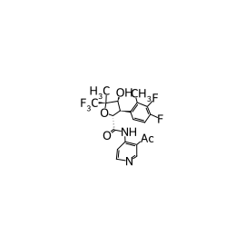 CC(=O)c1cnccc1NC(=O)[C@@H]1O[C@@](C)(C(F)(F)F)[C@@H](O)[C@H]1c1ccc(F)c(F)c1C